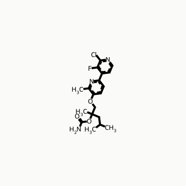 Cc1nc(-c2ccnc(Cl)c2F)ccc1OCC(C)(CC(C)C)OC(N)=O